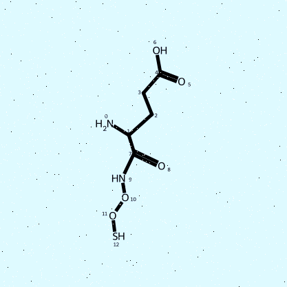 NC(CCC(=O)O)C(=O)NOOS